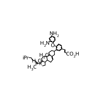 CC(C)CCC[C@@H](C)[C@H]1CCC2C3CC=C4CC(c5cc(C=CC(=O)O)ccc5Oc5ccc(N)cc5N)CC[C@]4(C)C3CC[C@@]21C